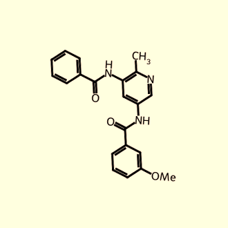 COc1cccc(C(=O)Nc2cnc(C)c(NC(=O)c3ccccc3)c2)c1